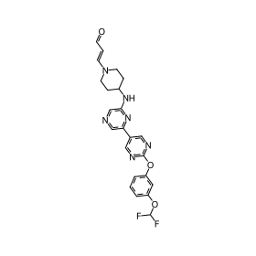 O=CC=CN1CCC(Nc2cncc(-c3cnc(Oc4cccc(OC(F)F)c4)nc3)n2)CC1